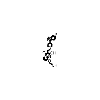 C#CCOc1cccn2c(=O)c(CCN3CCC(c4noc5cc(F)ccc45)CC3)c(C)nc12